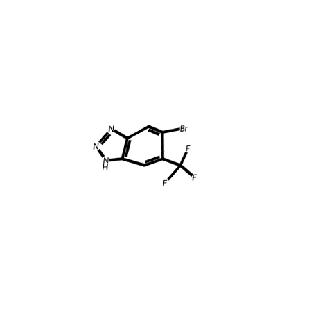 FC(F)(F)c1cc2[nH]nnc2cc1Br